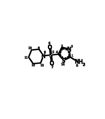 Nc1ncc(S(=O)(=O)N2CCCCC2)s1